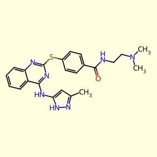 Cc1cc(Nc2nc(Sc3ccc(C(=O)NCCN(C)C)cc3)nc3ccccc23)[nH]n1